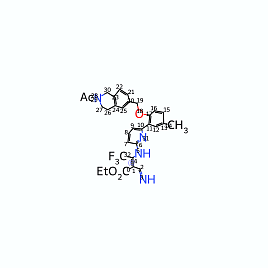 CCOC(=O)/C(C=N)=C(/Nc1cccc(-c2cc(C)ccc2OCc2ccc3c(c2)CCN(C(C)=O)C3)n1)C(F)(F)F